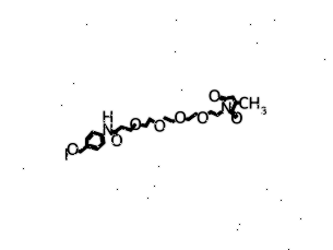 CC1CC(=O)N(CCOCCOCCOCCOCCC(=O)Nc2ccc(COI)cc2)C1=O